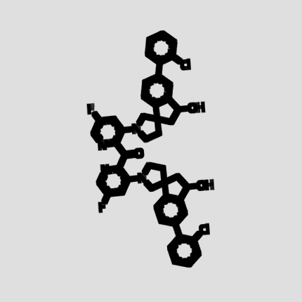 O=C(c1ncc(F)cc1N1CCC2(CC(O)c3cc(-c4ccccc4Cl)ccc32)C1)c1ncc(F)cc1N1CCC2(CC(O)c3cc(-c4ccccc4Cl)ccc32)C1